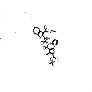 CCOC(=O)c1c(NC(=O)NC(=O)c2c(-n3cccc3)sc(C(=O)OC(C)(C)C)c2C)sc2c1CCCC2